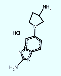 Cl.Nc1nc2ccc(N3CCC(N)C3)cn2n1